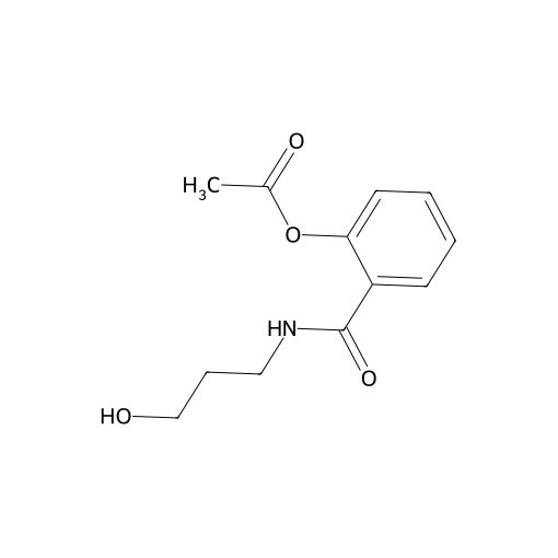 CC(=O)Oc1ccccc1C(=O)NCCCO